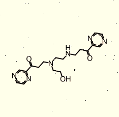 O=C(CCNCCN(CCO)CCC(=O)c1cnccn1)c1cnccn1